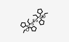 CCO[Si](C1CCCC1)(C1CCCC1)C(CC)SSSC(CC)[Si](OCC)(C1CCCC1)C1CCCC1